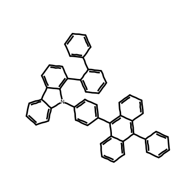 c1ccc(-c2ccccc2-c2cccc3c4ccccc4n(-c4ccc(-c5c6ccccc6c(-c6ccccc6)c6ccccc56)cc4)c23)cc1